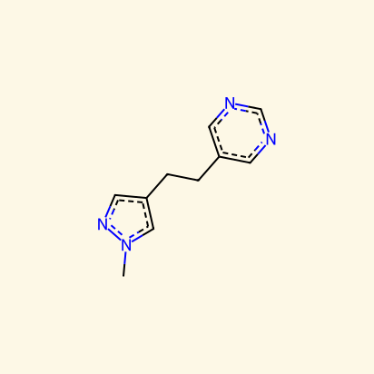 Cn1cc(CCc2cncnc2)cn1